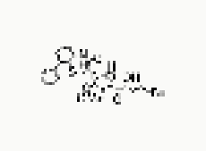 CO[C@@H](C(=O)N[C@H]1CSc2c(cccc2-c2ccccc2)NC1=O)[C@H](O)[C@@H](O)[C@H](O)C=CC(C)(C)C